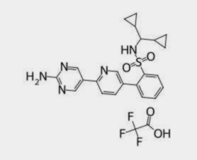 Nc1ncc(-c2ccc(-c3ccccc3S(=O)(=O)NC(C3CC3)C3CC3)cn2)cn1.O=C(O)C(F)(F)F